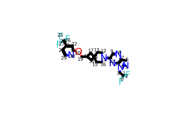 FC(F)Cn1ncc2ncc(N3CCC4(CC3)CC(COc3cc(C(F)(F)F)ccn3)C4)nc21